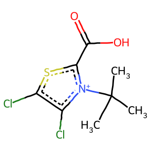 CC(C)(C)[n+]1c(C(=O)O)sc(Cl)c1Cl